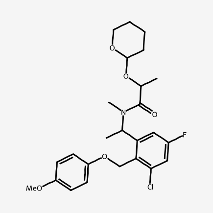 COc1ccc(OCc2c(Cl)cc(F)cc2C(C)N(C)C(=O)C(C)OC2CCCCO2)cc1